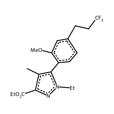 CCOC(=O)c1nn(CC)c(-c2ccc(CCC(F)(F)F)cc2OC)c1C